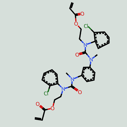 C=CC(=O)OCCN(C(=O)N(C)c1cccc(N(C)C(=O)N(CCOC(=O)C=C)c2ccccc2Cl)c1)c1ccccc1Cl